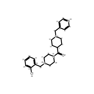 O=C(C1CCN(Cc2ccncc2)CC1)N1CCN(Cc2ccccc2Cl)CC1